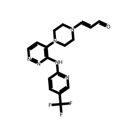 O=CC=CN1CCN(c2ccnnc2Nc2ccc(C(F)(F)F)cn2)CC1